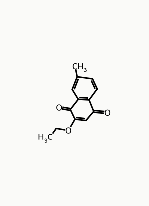 CCOC1=CC(=O)c2ccc(C)cc2C1=O